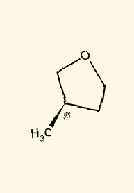 C[C@@H]1CCOC1